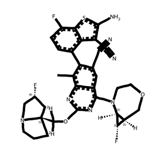 [2H]C([2H])(Oc1nc(N2CCOC[C@H]3[C@H](F)[C@H]32)c2cc(C#N)c(-c3ccc(F)c4sc(N)c(C#N)c34)c(C)c2n1)[C@@]12CCCN1C[C@H](F)C2